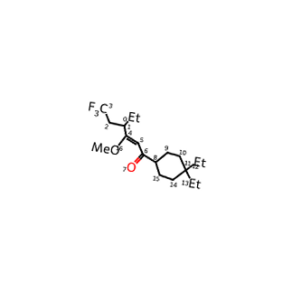 CCC(CC(F)(F)F)/C(=C/C(=O)C1CCC(CC)(CC)CC1)OC